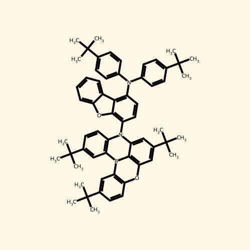 CC(C)(C)c1ccc(N(c2ccc(C(C)(C)C)cc2)c2ccc(N3c4ccc(C(C)(C)C)cc4B4c5cc(C(C)(C)C)ccc5Oc5cc(C(C)(C)C)cc3c54)c3oc4ccccc4c23)cc1